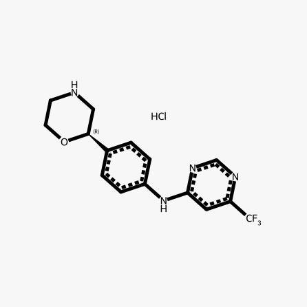 Cl.FC(F)(F)c1cc(Nc2ccc([C@@H]3CNCCO3)cc2)ncn1